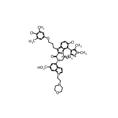 Cc1cc(OCCCc2c3n(c4c(-c5c(C)nn(C)c5C)c(Cl)ccc24)[C@H](C)CN(c2cc(C(=O)O)cc4c2ccn4CCN2CCOCC2)C3=O)cc(C)c1Cl